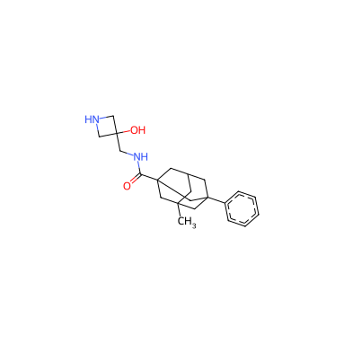 CC12CC3CC(C(=O)NCC4(O)CNC4)(C1)CC(c1ccccc1)(C3)C2